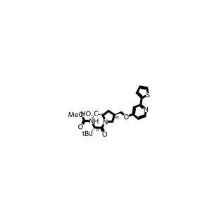 COC(=O)N[C@H](C(=O)N1C[C@H](COc2ccnc(-c3cccs3)c2)C[C@H]1C(=O)O)C(C)(C)C